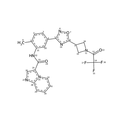 Cc1ccc(-c2noc(C3CN(C(=O)C(F)(F)F)C3)n2)cc1NC(=O)c1cnc2ccccn12